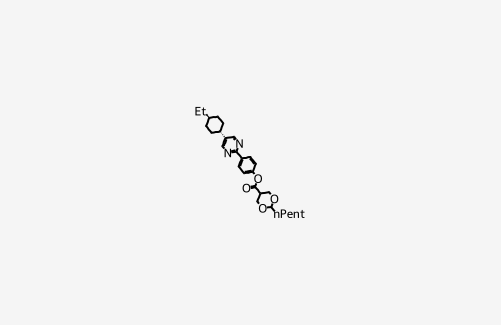 CCCCCC1OCC(C(=O)Oc2ccc(-c3ncc([C@H]4CC[C@H](CC)CC4)cn3)cc2)CO1